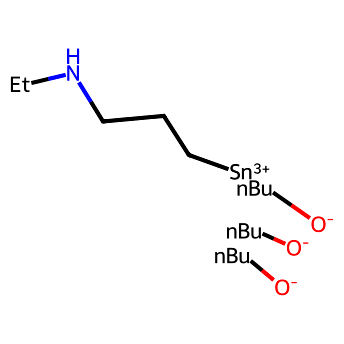 CCCC[O-].CCCC[O-].CCCC[O-].CCNCC[CH2][Sn+3]